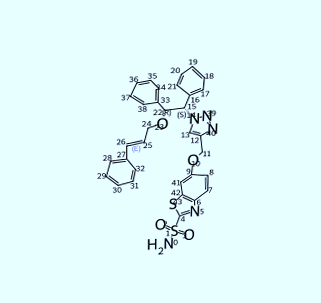 NS(=O)(=O)c1nc2ccc(OCc3cn([C@@H](c4ccccc4)[C@H](OC/C=C/c4ccccc4)c4ccccc4)nn3)cc2s1